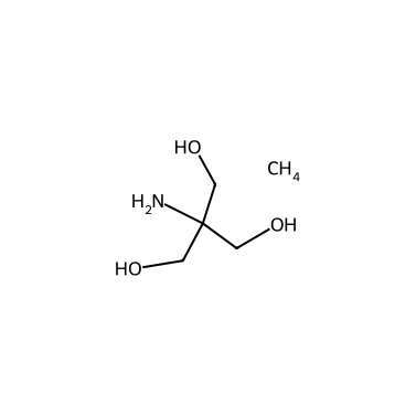 C.NC(CO)(CO)CO